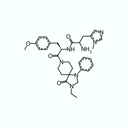 CCN1CN(c2ccccc2)C2(CCN(C(=O)[C@@H](Cc3ccc(OC)cc3)NC(=O)C(N)Cc3cncn3C)CC2)C1=O